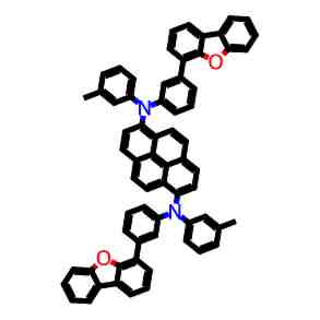 Cc1cccc(N(c2cccc(-c3cccc4c3oc3ccccc34)c2)c2ccc3ccc4c(N(c5cccc(C)c5)c5cccc(-c6cccc7c6oc6ccccc67)c5)ccc5ccc2c3c54)c1